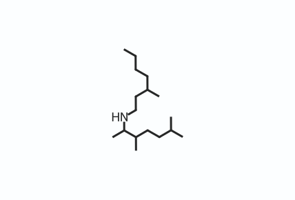 CCCCC(C)CCNC(C)C(C)CCC(C)C